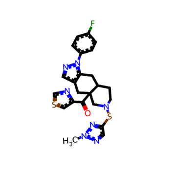 Cn1ncc(SN2CCC3Cc4c(cnn4-c4ccc(F)cc4)CC3(C(=O)c3cscn3)C2)n1